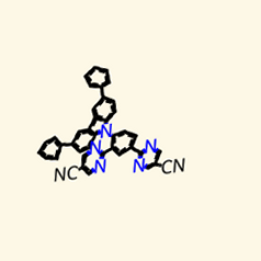 N#Cc1cnc(-c2ccc(-n3c4ccc(-c5ccccc5)cc4c4cc(-c5ccccc5)ccc43)c(-c3ncc(C#N)cn3)c2)nc1